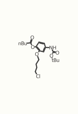 CCCCC(=O)Oc1ccc(NC(=O)OC(C)(C)C)cc1OCCCCCl